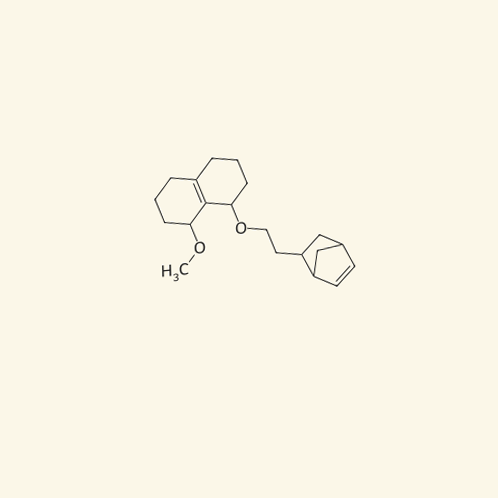 COC1CCCC2=C1C(OCCC1CC3C=CC1C3)CCC2